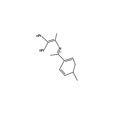 CCCC(CCC)=C(C)/N=C(\C)C1=CCC(C)C=C1